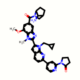 COc1cc(C(=O)N2CC3CCC2C3N)cc2nc(-c3cc4ccc(-c5ccnc(N6CCCC6=O)c5)nc4n3CC3CC3)n(C)c12